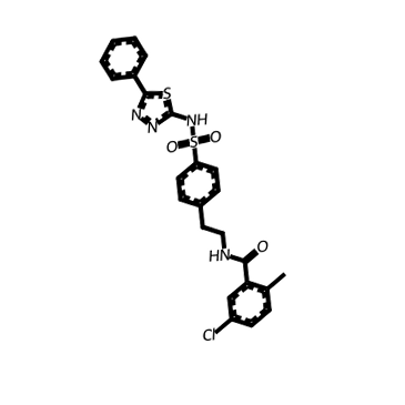 Cc1ccc(Cl)cc1C(=O)NCCc1ccc(S(=O)(=O)Nc2nnc(-c3ccccc3)s2)cc1